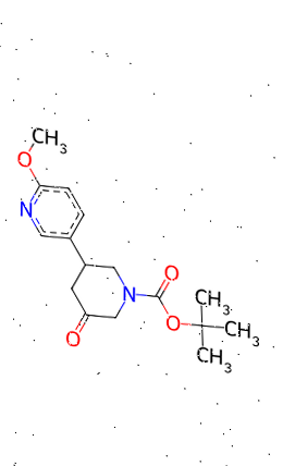 COc1ccc(C2CC(=O)CN(C(=O)OC(C)(C)C)C2)cn1